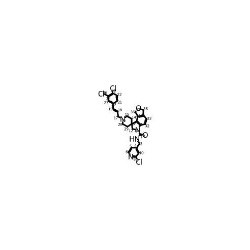 O=C(NCc1ccnc(Cl)c1)N1CC2(CCN(C/C=C/c3ccc(Cl)c(Cl)c3)CC2)c2c1ccc1c2COC1